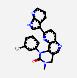 CN1Cc2cnc3ccc(-c4c[nH]c5ncccc45)nc3c2N(c2cccc(C(F)(F)F)c2)C1=O